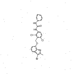 Cc1nc2c(OCc3c(Cl)ccc(NC(=O)Nc4ccccc4)c3Cl)cccn2c1Br